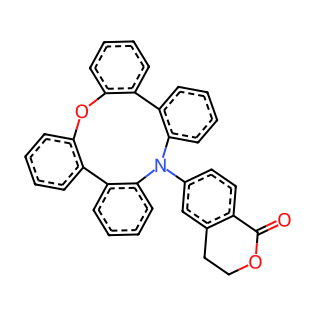 O=C1OCCc2cc(N3c4ccccc4-c4ccccc4Oc4ccccc4-c4ccccc43)ccc21